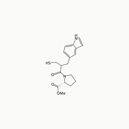 COC(=O)[C@H]1CCCN1C(=O)C(CS)Cc1ccc2[nH]ccc2c1